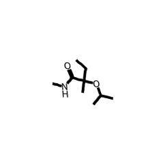 CCC(C)(OC(C)C)C(=O)NC